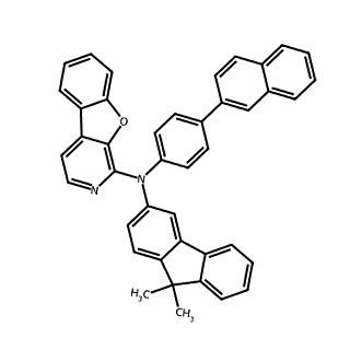 CC1(C)c2ccccc2-c2cc(N(c3ccc(-c4ccc5ccccc5c4)cc3)c3nccc4c3oc3ccccc34)ccc21